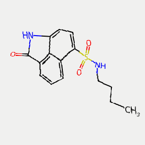 CCCCNS(=O)(=O)c1ccc2c3c(cccc13)C(=O)N2